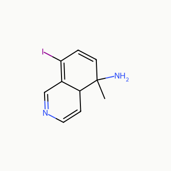 CC1(N)C=CC(I)=C2C=NC=CC21